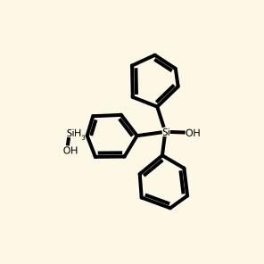 O[SiH3].O[Si](c1ccccc1)(c1ccccc1)c1ccccc1